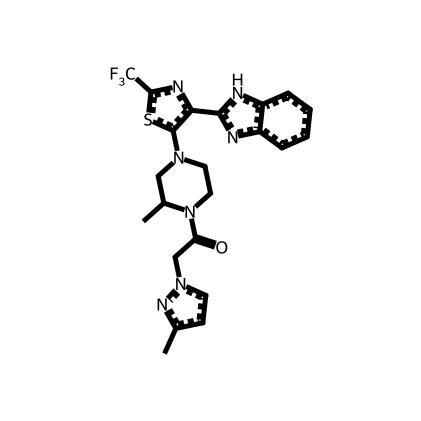 Cc1ccn(CC(=O)N2CCN(c3sc(C(F)(F)F)nc3-c3nc4ccccc4[nH]3)CC2C)n1